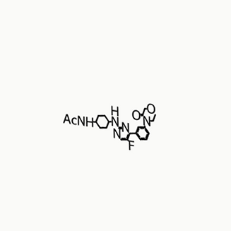 CC(=O)NC1CCC(Nc2ncc(F)c(-c3cccc(N4CCOCC4=O)c3)n2)CC1